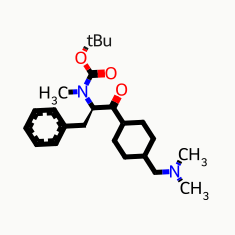 CN(C)CC1CCC(C(=O)[C@@H](Cc2ccccc2)N(C)C(=O)OC(C)(C)C)CC1